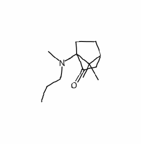 CCCN(C)C12CCC(CC1=O)C2(C)C